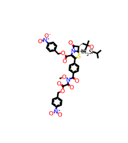 CON(C(=O)C(=O)OCc1ccc([N+](=O)[O-])cc1)C(=O)c1ccc(C2=C(C(=O)OCc3ccc([N+](=O)[O-])cc3)N3C(=O)[C@H](CC(C)(C)O[SiH2]C(C)C)[C@H]3S2)cc1